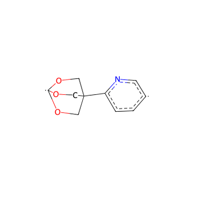 [c]1ccc(C23CO[C](OC2)OC3)nc1